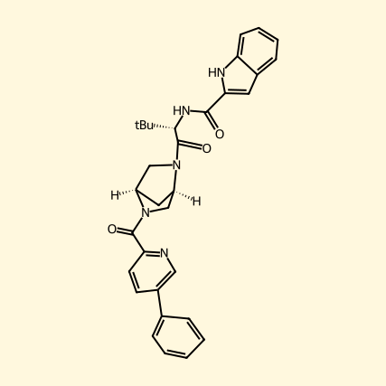 CC(C)(C)[C@H](NC(=O)c1cc2ccccc2[nH]1)C(=O)N1C[C@H]2C[C@@H]1CN2C(=O)c1ccc(-c2ccccc2)cn1